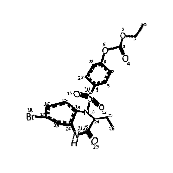 CCOC(=O)Oc1ccc(S(=O)(=O)N2c3ccc(Br)cc3NC(=O)[C@@H]2CC)cc1